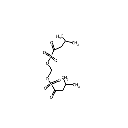 CC(C)CC(=O)S(=O)(=O)OCOS(=O)(=O)C(=O)CC(C)C